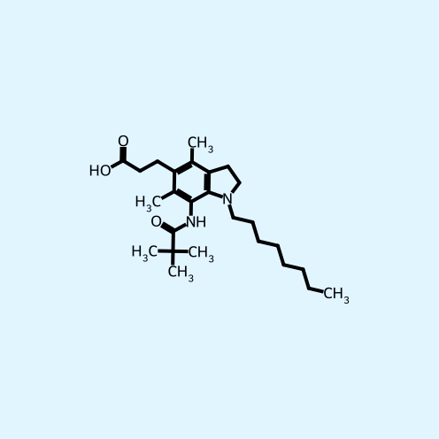 CCCCCCCCN1CCc2c(C)c(CCC(=O)O)c(C)c(NC(=O)C(C)(C)C)c21